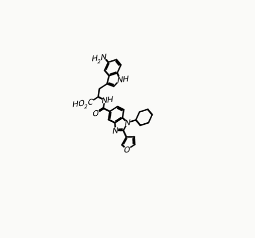 Nc1ccc2[nH]cc(CC(NC(=O)c3ccc4c(c3)nc(-c3ccoc3)n4C3CCCCC3)C(=O)O)c2c1